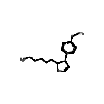 CCCCCCC1SC=CC1c1ccc(OC)cc1